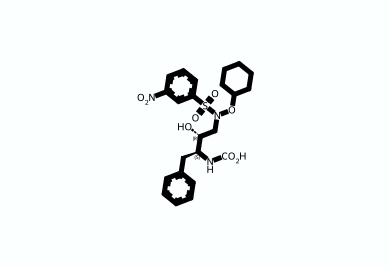 O=C(O)N[C@@H](Cc1ccccc1)[C@H](O)CN(OC1CCCCC1)S(=O)(=O)c1cccc([N+](=O)[O-])c1